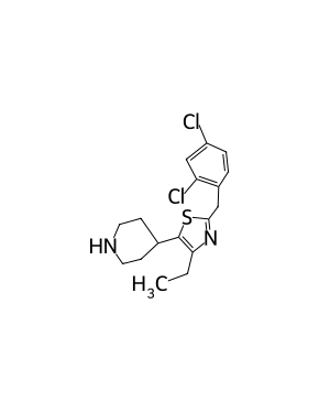 CCc1nc(Cc2ccc(Cl)cc2Cl)sc1C1CCNCC1